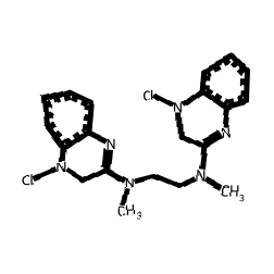 CN(CCN(C)C1=Nc2ccccc2N(Cl)C1)C1=Nc2ccccc2N(Cl)C1